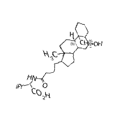 CC(C)C(NC(=O)CCCC1CCC2C3C[C@H](O)C4CCCCC4(C)[C@H]3CCC12C)C(=O)O